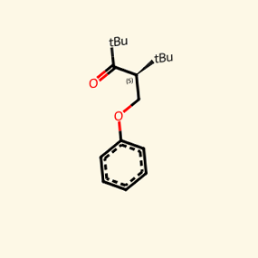 CC(C)(C)C(=O)[C@H](COc1ccccc1)C(C)(C)C